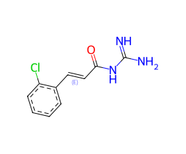 N=C(N)NC(=O)/C=C/c1ccccc1Cl